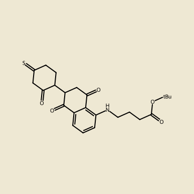 CC(C)(C)OC(=O)CCCNc1cccc2c1C(=O)CC(C1CCC(=S)CC1=O)C2=O